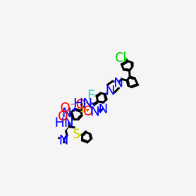 CN(C)CC[C@H](CSc1ccccc1)Nc1ccc(S(=O)(=O)Nc2ncnc3cc(N4CCN(Cc5ccccc5-c5ccc(Cl)cc5)CC4)cc(F)c23)cc1[N+](=O)[O-]